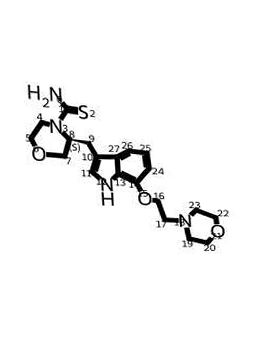 NC(=S)N1CCOC[C@@H]1Cc1c[nH]c2c(OCCN3CCOCC3)cccc12